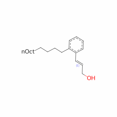 CCCCCCCCCCCCc1ccccc1/C=C/CO